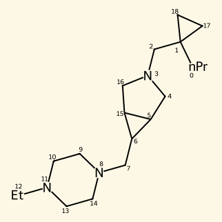 CCCC1(CN2CC3C(CN4CCN(CC)CC4)C3C2)CC1